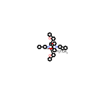 CC1(C)c2ccccc2-c2ccc(N3c4ccccc4C4(c5ccccc53)c3cc(-c5cccc6c5oc5ccccc56)ccc3N(c3ccc(-c5ccccc5)cc3)c3ccc(-c5cccc6c5oc5ccccc56)cc34)cc21